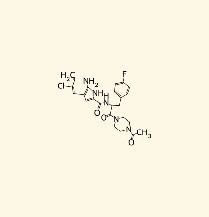 C=C/C(Cl)=C\c1cc(C(=O)N[C@@H](Cc2ccc(F)cc2)C(=O)N2CCN(C(C)=O)CC2)[nH]c1N